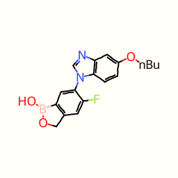 CCCCOc1ccc2c(c1)ncn2-c1cc2c(cc1F)COB2O